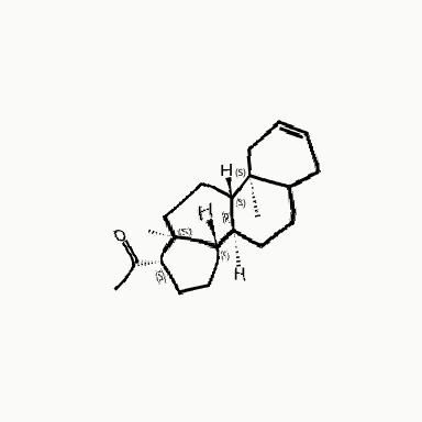 CC(=O)[C@H]1CC[C@H]2[C@@H]3CCC4CC=CC[C@]4(C)[C@H]3CC[C@]12C